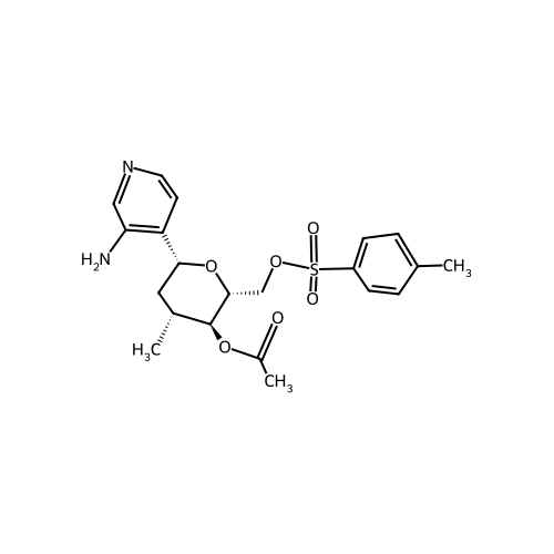 CC(=O)O[C@H]1[C@H](C)C[C@H](c2ccncc2N)O[C@@H]1COS(=O)(=O)c1ccc(C)cc1